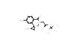 CC(C)(C)OC(=O)CN1C[C@]2(C[C@H]2F)c2cc(Br)ccc2C1=O